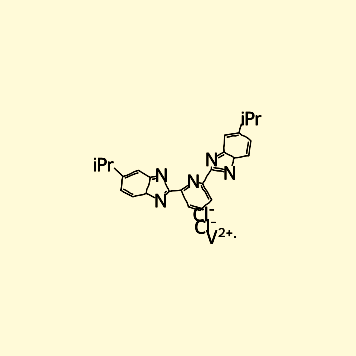 CC(C)C1=CC2=NC(c3cccc(C4=NC5C=CC(C(C)C)=CC5=N4)n3)=NC2C=C1.[Cl-].[Cl-].[V+2]